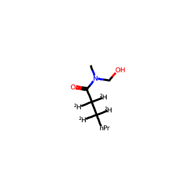 [2H]C([2H])(CCC)C([2H])([2H])C(=O)N(C)CO